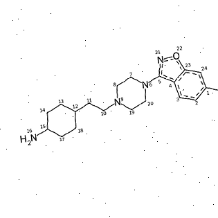 Cc1ccc2c(N3CCN(CCC4CCC(N)CC4)CC3)noc2c1